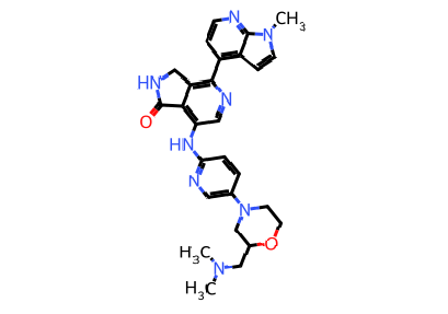 CN(C)CC1CN(c2ccc(Nc3cnc(-c4ccnc5c4ccn5C)c4c3C(=O)NC4)nc2)CCO1